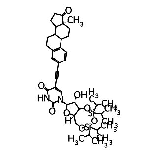 CC(C)[Si]1(C(C)C)OC[C@H]2O[C@@H](n3cc(C#Cc4ccc5c(c4)CCC4C5CC[C@]5(C)C(=O)CCC45)c(=O)[nH]c3=O)[C@H](O)C2O[Si](C(C)C)(C(C)C)O1